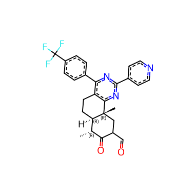 C[C@H]1C(=O)C(C=O)C[C@@]2(C)c3nc(-c4ccncc4)nc(-c4ccc(C(F)(F)F)cc4)c3CC[C@H]12